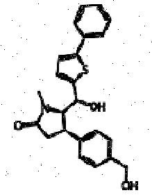 CN1C(=O)C[C@H](c2ccc(CO)cc2)[C@@H]1[C@H](O)c1ccc(-c2ccccc2)s1